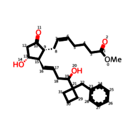 COC(=O)CCC/C=C\C[C@H]1C(=O)C[C@@H](O)[C@@H]1/C=C/CC(O)C1(Cc2ccccc2)CCC1